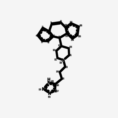 C1=Cc2ccccc2C(C2CCN(CCCc3nnn[nH]3)CC2)c2ccccc21